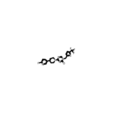 O=c1nc(N2CC=C(c3ccc(F)nc3)CC2)ncn1Cc1ccc(C(F)(F)F)s1